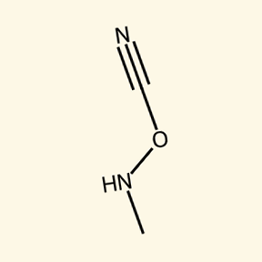 CNOC#N